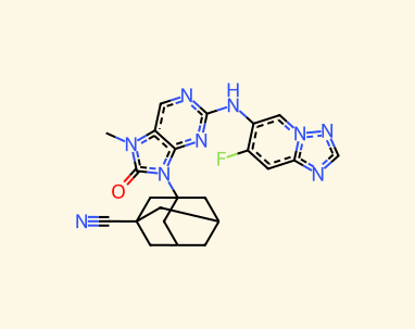 Cn1c(=O)n(C23CC4CC(CC(C#N)(C4)C2)C3)c2nc(Nc3cn4ncnc4cc3F)ncc21